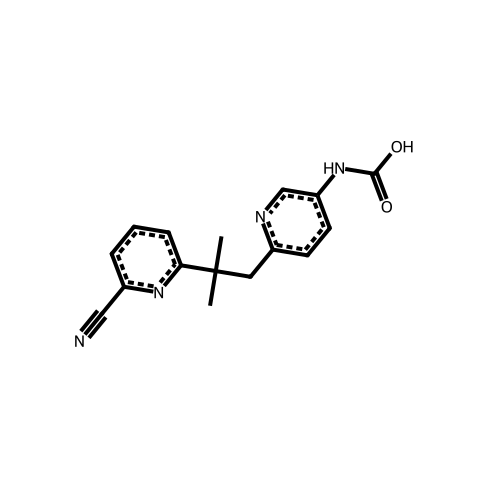 CC(C)(Cc1ccc(NC(=O)O)cn1)c1cccc(C#N)n1